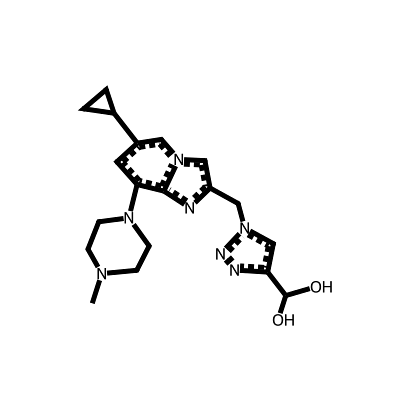 CN1CCN(c2cc(C3CC3)cn3cc(Cn4cc(C(O)O)nn4)nc23)CC1